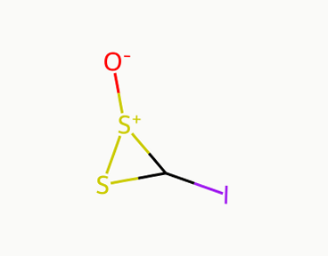 [O-][S+]1SC1I